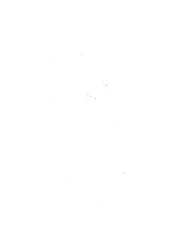 O=c1c(O)c(Cl)cnn1-c1ccc(C(F)(F)F)cc1Cl